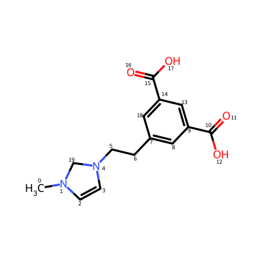 CN1C=CN(CCc2cc(C(=O)O)cc(C(=O)O)c2)C1